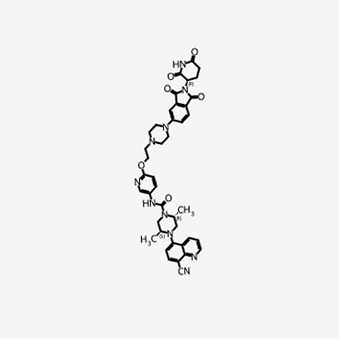 C[C@@H]1CN(c2ccc(C#N)c3ncccc23)[C@@H](C)CN1C(=O)Nc1ccc(OCCN2CCN(c3ccc4c(c3)C(=O)N([C@@H]3CCC(=O)NC3=O)C4=O)CC2)nc1